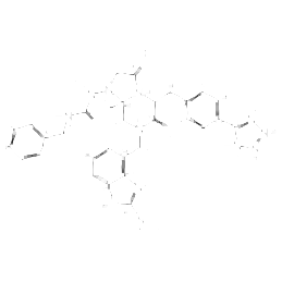 CN(C(=O)NCc1ccccc1)N1CC(=O)N2[C@@H](Cc3ccc(-c4nnn[nH]4)cc3)C(=O)N(Cc3cccc4sc(N)nc34)C[C@@H]21